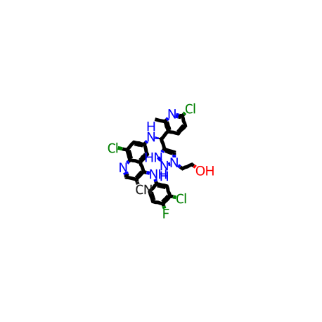 Cc1nc(Cl)ccc1[C@H](Nc1cc(Cl)c2ncc(C#N)c(Nc3ccc(F)c(Cl)c3)c2c1)C1=CN(CCO)NN1